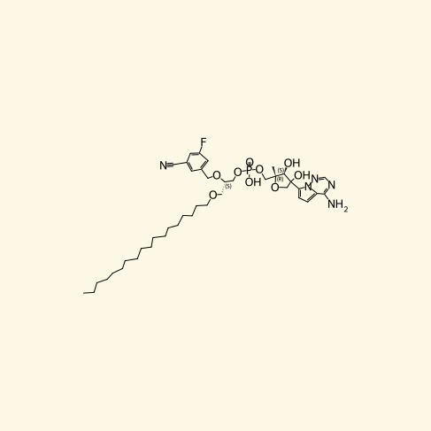 CCCCCCCCCCCCCCCCCCOC[C@@H](COP(=O)(O)OC[C@@]1(C)OCC(O)(c2ccc3c(N)ncnn23)[C@@H]1O)OCc1cc(F)cc(C#N)c1